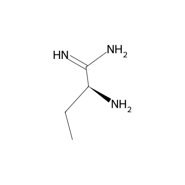 CC[C@H](N)C(=N)N